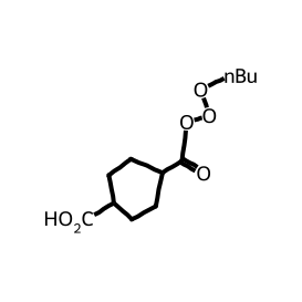 CCCCOOOC(=O)C1CCC(C(=O)O)CC1